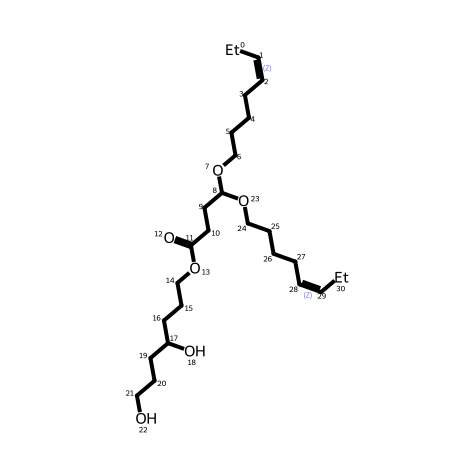 CC/C=C\CCCCOC(CCC(=O)OCCCC(O)CCCO)OCCCC/C=C\CC